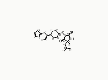 CC=C(Cc1cccs1)N1CCC(CN2C(=N)NC(C)(CC(C)C)C2=O)CC1